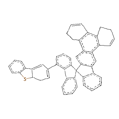 C1=Cc2c(c3c(c4cc5c(cc24)-c2ccccc2C52c4ccccc4-c4c(C5=CCC6Sc7ccccc7C6=C5)cccc42)CCC=C3)CC1